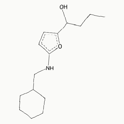 CCCC(O)c1ccc(NCC2CCCCC2)o1